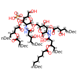 CCCCCCCCCCCCCCCC(=O)OC(CCCCCCCCCCC)CC(=O)NC1C(O)OC(CO[C@@H]2OC(CO)[C@@H](OP(=O)(O)O)[C@H](OC(=O)CC(CCCCCCCCCCC)OC(=O)CCCCCCCCCCC)C2NC(=O)CC(O)CCCCCCCCCCC)[C@@H](O)[C@@H]1OC(=O)CC(O)CCCCCCCCCCC